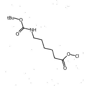 CC(C)(C)OC(=O)NCCCCCC(=O)OCl